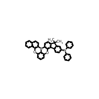 CC1(C)c2cc(N(c3ccccc3)c3ccccc3)ccc2-c2c1ccc1c2Oc2cccc3c2B1c1ccc2ccccc2c1O3